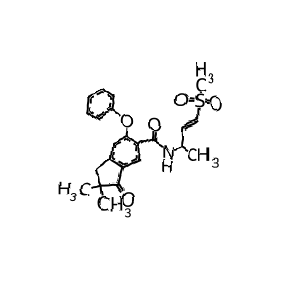 CC(/C=C/S(C)(=O)=O)NC(=O)c1cc2c(cc1Oc1ccccc1)CC(C)(C)C2=O